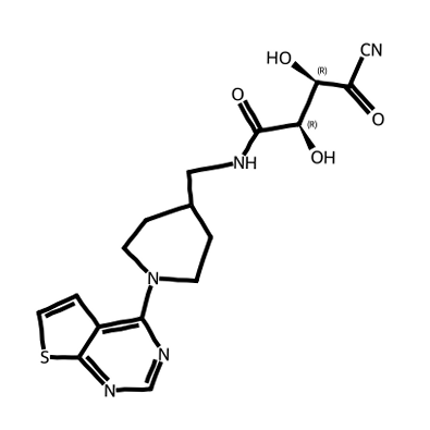 N#CC(=O)[C@H](O)[C@@H](O)C(=O)NCC1CCN(c2ncnc3sccc23)CC1